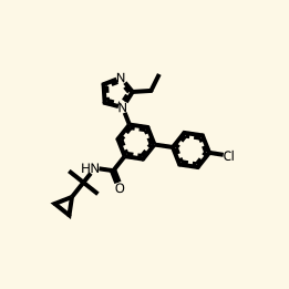 CCc1nccn1-c1cc(C(=O)NC(C)(C)C2CC2)cc(-c2ccc(Cl)cc2)c1